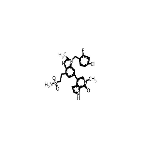 Cc1nc2c(CCS(N)(=O)=O)cc(-c3cn(C)c(=O)c4[nH]ccc34)cc2n1Cc1ccc(Cl)cc1F